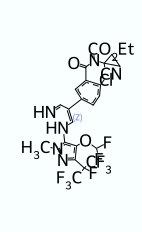 CCOC(=O)N(C(=O)c1cc(/C(C=N)=C/Nc2c(OC(F)F)c(C(F)(C(F)(F)F)C(F)(F)F)nn2C)ccc1Cl)C1(C#N)CC1